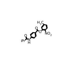 Cc1ccc([N+](=O)[O-])c(OC(=O)c2ccc(NC(=O)C(C)C)cc2)c1